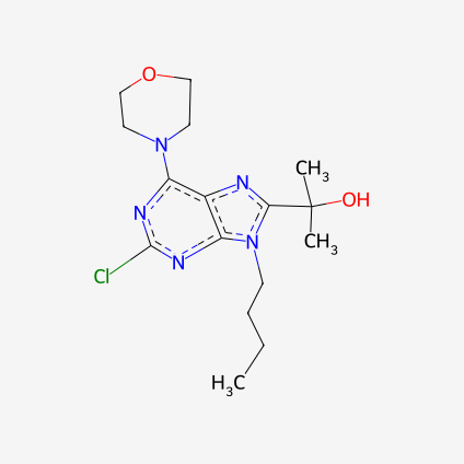 CCCCn1c(C(C)(C)O)nc2c(N3CCOCC3)nc(Cl)nc21